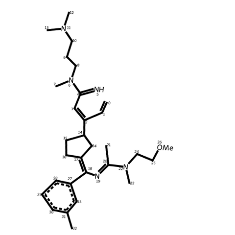 C=C/C(=C\C(=N)N(C)CCCN(C)C)C1CC/C(=C(/N=C(\C)N(C)CCOC)c2cccc(C)c2)C1